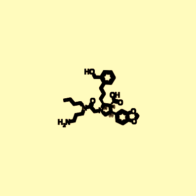 CCCCN(CCCN)C(=O)CN1C[C@H](c2ccc3c(c2)OCO3)[C@@H](C(=O)O)[C@@H]1CCCc1ccccc1CO